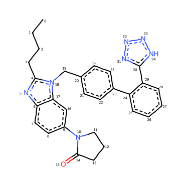 CCCCc1nc2ccc(N3CCCC3=O)cc2n1Cc1ccc(-c2ccccc2-c2nnn[nH]2)cc1